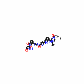 CC(=O)N1CCn2c(C3CC3)nc(-c3cccc4cc(-c5ccc(C(=O)NCC#Cc6cccc7c6CN(C6CCC(=O)NC6=O)C7=O)nc5)ncc34)c2C1